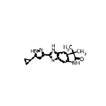 CC1(C)C(=O)Nc2cc3nc(-c4cc(C5CC5)[nH]n4)[nH]c3cc21